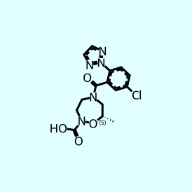 C[C@H]1CN(C(=O)c2cc(Cl)ccc2-n2nccn2)CCN(C(=O)O)O1